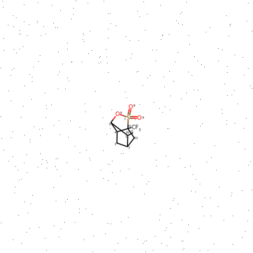 CC1C2CC3C1OS(=O)(=O)C3(C(F)(F)F)C2